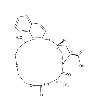 C=C1CCCCCOC(=O)N[C@@H](C)C(=O)N2C[C@@H](C[C@H]2C(=O)O)Oc2ccc3ccccc3c21